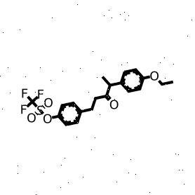 CCOc1ccc(C(C)C(=O)CCc2ccc(OS(=O)(=O)C(F)(F)F)cc2)cc1